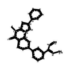 Cn1c(=O)c2ccc(-c3cccc(/C(N=N)=N/N)c3)cc2n2nc(-c3ccccc3)cc12